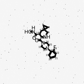 O=C(NO)[C@H]1CC2(CC2)CN[C@@H]1C(=O)N1CCN(c2ccccc2F)CC1